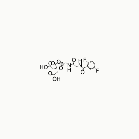 O=C(O)CC1(CC(=O)O)OB(CNC(=O)CNC(=O)c2cc(F)ccc2F)OC1=O